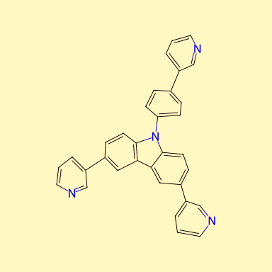 c1cncc(-c2ccc(-n3c4ccc(-c5cccnc5)cc4c4cc(-c5cccnc5)ccc43)cc2)c1